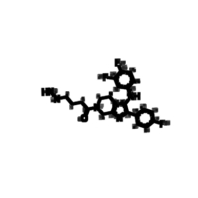 N=NCCCC(=O)N1CCn2c(nc(-c3ccc(F)cc3)c2Nc2ccc(F)c(F)c2)C1